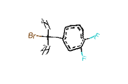 [2H]C([2H])(Br)c1ccc(F)c(F)c1